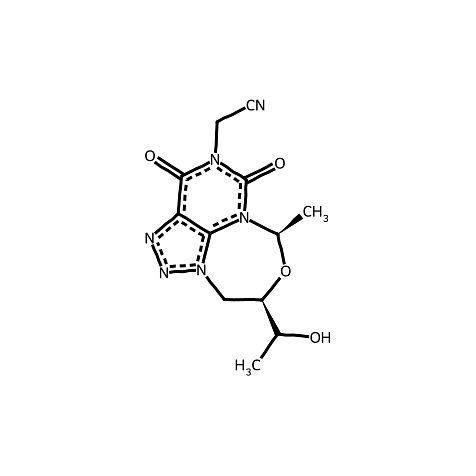 CC(O)[C@H]1Cn2nnc3c(=O)n(CC#N)c(=O)n(c32)[C@@H](C)O1